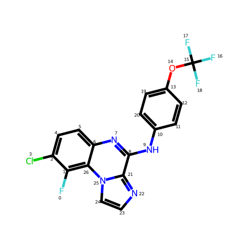 Fc1c(Cl)ccc2nc(Nc3ccc(OC(F)(F)F)cc3)c3nccn3c12